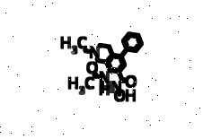 CCN1CCc2c(-c3ccccc3)cc(C(=O)NO)c(NC(C)=O)c2C1